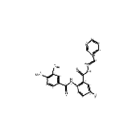 COc1ccc(C(=O)Nc2ccc(Cl)cc2C(=O)NN=Cc2cccnc2)cc1OC